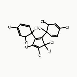 ClC1=CC(Cl)C(Cl)(C2=C(C3(Cl)C=CC(Cl)=CC3Cl)C(Cl)(Cl)C(Cl)=C2Cl)C=C1